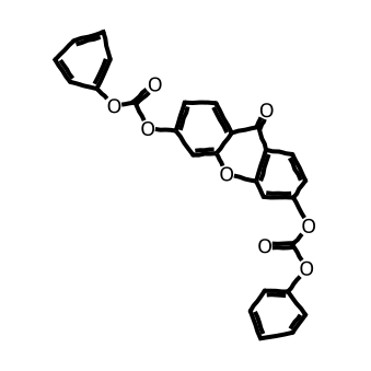 O=C(Oc1ccccc1)Oc1ccc2c(=O)c3ccc(OC(=O)Oc4ccccc4)cc3oc2c1